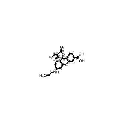 C=CCNc1ccc2c(c1)Oc1cc(B(O)O)ccc1C21OC(=O)c2ccccc21